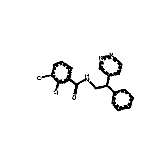 O=C(NCC(c1ccccc1)c1ccnnc1)c1cccc(Cl)c1Cl